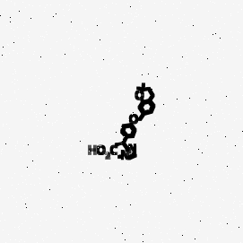 Cn1ccnc1[C@@H](CC(=O)O)c1ccc(OCc2ccc3c(c2)OC(C)(C)CC3)cc1